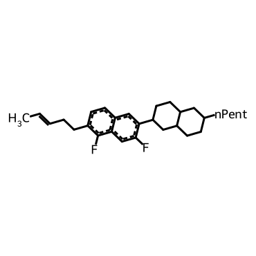 C/C=C/CCc1ccc2cc(C3CCC4CC(CCCCC)CCC4C3)c(F)cc2c1F